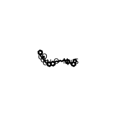 O=C(OCOc1ccc2ccc(OCCCCN3CCN(c4cccc5sccc45)CC3)cc2n1)Oc1ccccc1